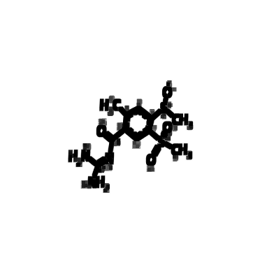 Cc1cc([S+](C)[O-])c(S(C)(=O)=O)cc1C(=O)N=C(N)N